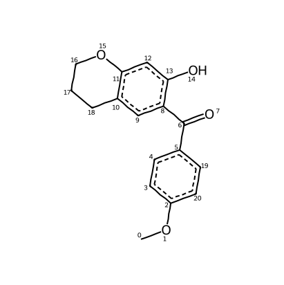 COc1ccc(C(=O)c2cc3c(cc2O)OCCC3)cc1